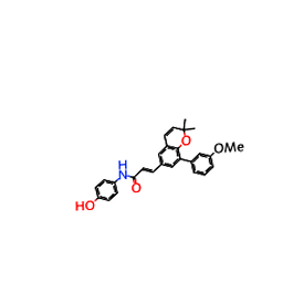 COc1cccc(-c2cc(C=CC(=O)Nc3ccc(O)cc3)cc3c2OC(C)(C)C=C3)c1